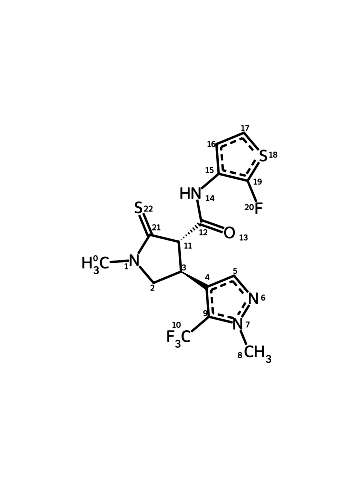 CN1C[C@H](c2cnn(C)c2C(F)(F)F)[C@@H](C(=O)Nc2ccsc2F)C1=S